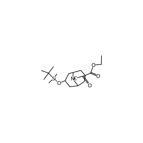 CCOC(=O)C12CC3CC(O[Si](C)(C)C(C)(C)C)CC(C1)N3CC2=O